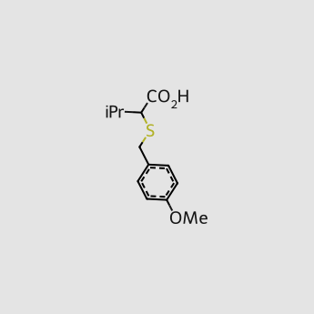 COc1ccc(CSC(C(=O)O)C(C)C)cc1